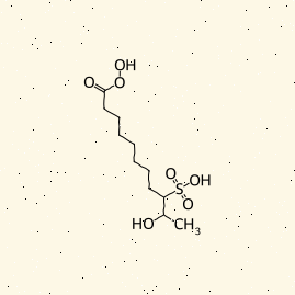 CC(O)C(CCCCCCCC(=O)OO)S(=O)(=O)O